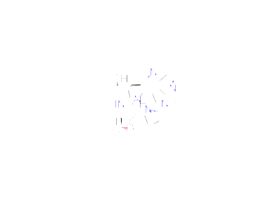 C=Cc1cc(C#N)c(-c2c[nH]c3ncc(Cl)cc23)nc1NC(CC(=O)O)C(C)(C)c1ccccn1